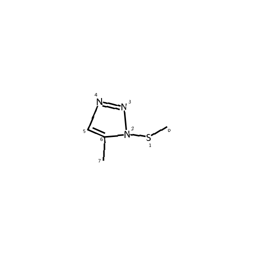 CSn1nncc1C